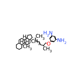 CC(CCCC(C)[C@H]1CC[C@H]2[C@@H]3CCC4CCCC[C@]4(C)[C@H]3CC[C@]12C)COc1cc(N)cc(N)c1